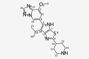 COc1cc(-c2[nH]c3sc(C4CCNCC4)nc3c2C(C)C)cn2ncnc12